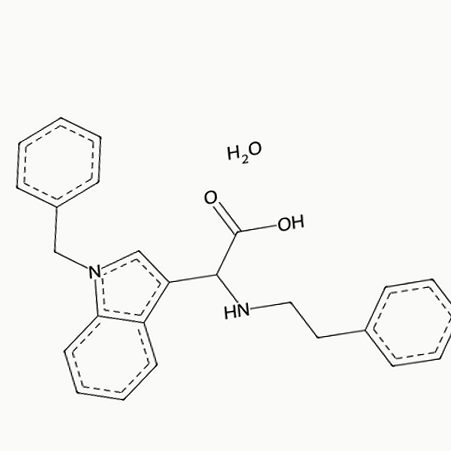 O.O=C(O)C(NCCc1ccccc1)c1cn(Cc2ccccc2)c2ccccc12